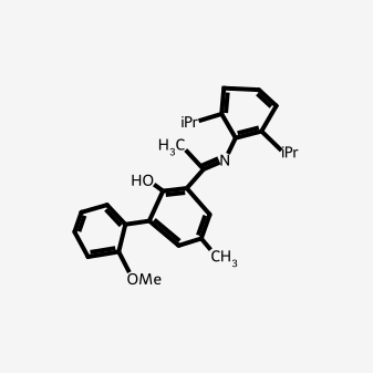 COc1ccccc1-c1cc(C)cc(/C(C)=N/c2c(C(C)C)cccc2C(C)C)c1O